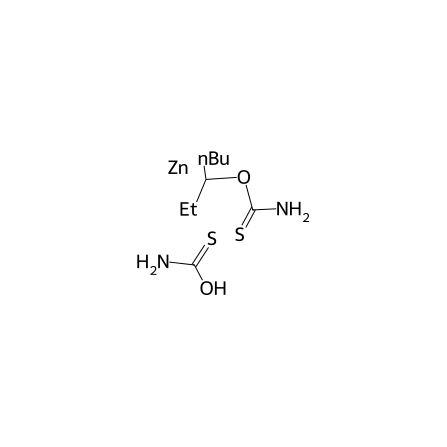 CCCCC(CC)OC(N)=S.NC(O)=S.[Zn]